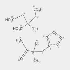 CCC(C)(Cn1cccn1)C(N)=O.O=C(O)CC(O)(CC(=O)O)C(=O)O